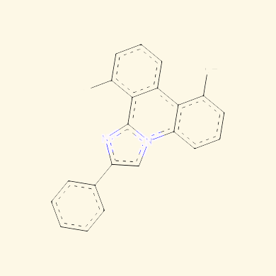 Cc1cccc2c1c1cccc(C)c1c1nc(-c3ccccc3)cn21